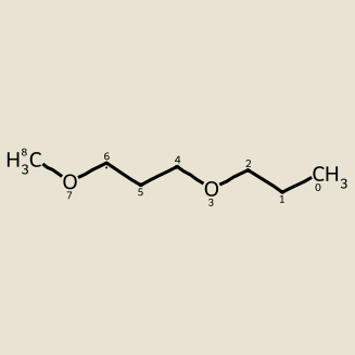 CCCOCC[CH]OC